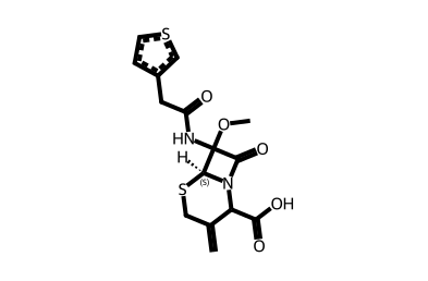 C=C1CS[C@@H]2N(C(=O)C2(NC(=O)Cc2ccsc2)OC)C1C(=O)O